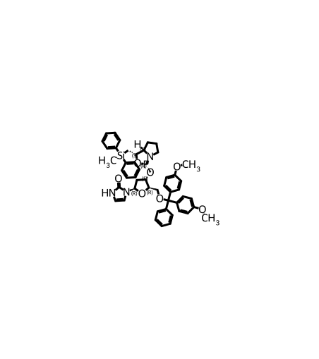 COc1ccc(C(OC[C@H]2O[C@@H](n3cc[nH]c3=O)C[C@@H]2O[P@@]2O[C@H](C[Si](C)(c3ccccc3)c3ccccc3)[C@@H]3CCCN32)(c2ccccc2)c2ccc(OC)cc2)cc1